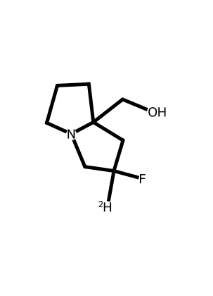 [2H]C1(F)CN2CCCC2(CO)C1